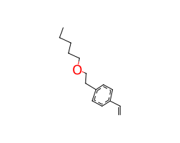 C=Cc1ccc(CCOCCCCC)cc1